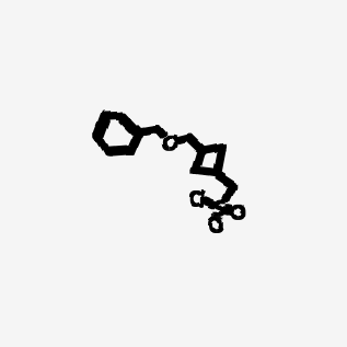 O=S(=O)(Cl)CC1CC(COCc2ccccc2)C1